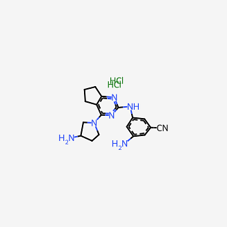 Cl.Cl.N#Cc1cc(N)cc(Nc2nc3c(c(N4CCC(N)C4)n2)CCC3)c1